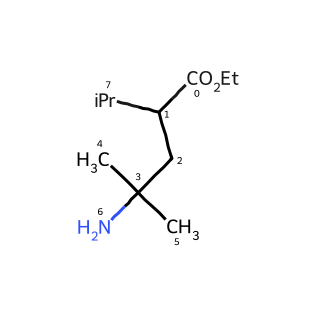 CCOC(=O)C(CC(C)(C)N)C(C)C